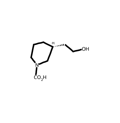 O=C(O)N1CCC[C@H](CCO)C1